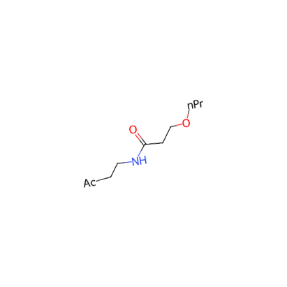 CCCOCCC(=O)NCCC(C)=O